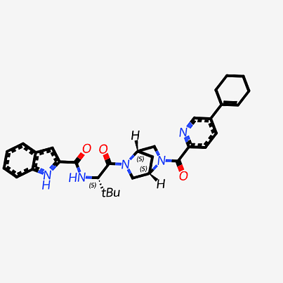 CC(C)(C)[C@H](NC(=O)c1cc2ccccc2[nH]1)C(=O)N1C[C@@H]2C[C@H]1CN2C(=O)c1ccc(C2=CCCCC2)cn1